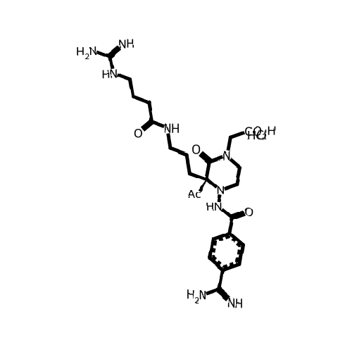 CC(=O)[C@@]1(CCCNC(=O)CCCNC(=N)N)C(=O)N(CC(=O)O)CCN1NC(=O)c1ccc(C(=N)N)cc1.Cl